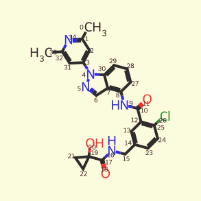 Cc1cc(-n2ncc3c(NC(=O)c4cc(CNC(=O)C5(O)CC5)ccc4Cl)cccc32)cc(C)n1